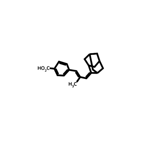 CC(=Cc1ccc(C(=O)O)cc1)C=C1C2CC3CC(C2)CC1C3